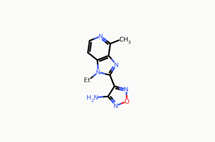 CCn1c(-c2nonc2N)nc2c(C)nccc21